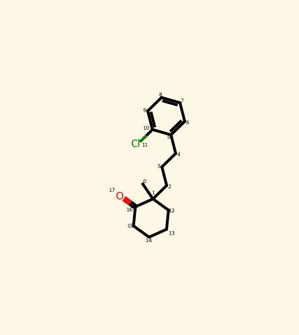 CC1(CCCc2ccccc2Cl)CCCCC1=O